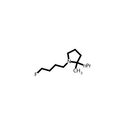 CCCC1(C)CCCN1CCCCF